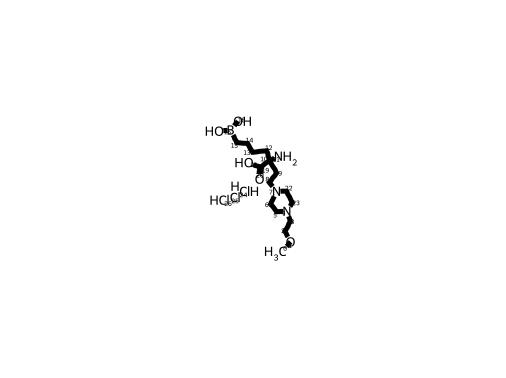 COCCN1CCN(CCC(N)(CCCCB(O)O)C(=O)O)CC1.Cl.Cl.Cl